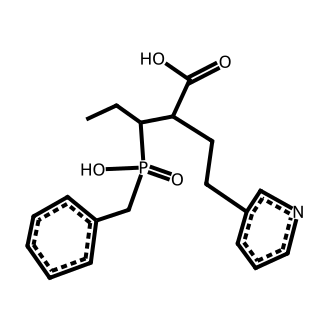 CCC(C(CCc1cccnc1)C(=O)O)P(=O)(O)Cc1ccccc1